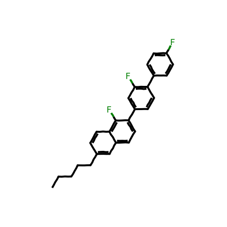 CCCCCc1ccc2c(F)c(-c3ccc(-c4ccc(F)cc4)c(F)c3)ccc2c1